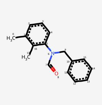 Cc1cccc(N(C=O)Cc2ccccc2)c1C